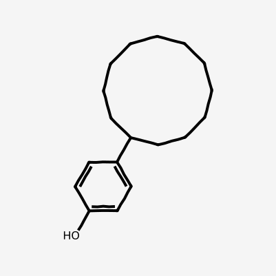 Oc1ccc(C2CCCCCCCCCCC2)cc1